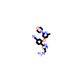 Cc1cc(Oc2cc(C#N)ccc2-c2nnc(CN)s2)cc(N2CCOCC2)n1